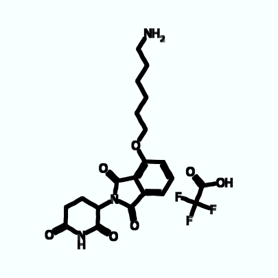 NCCCCCCOc1cccc2c1C(=O)N(C1CCC(=O)NC1=O)C2=O.O=C(O)C(F)(F)F